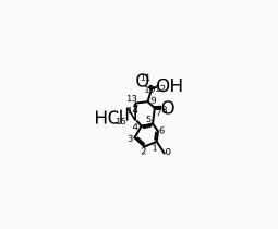 Cc1ccc2c(c1)C(=O)C(C(=O)O)C=N2.Cl